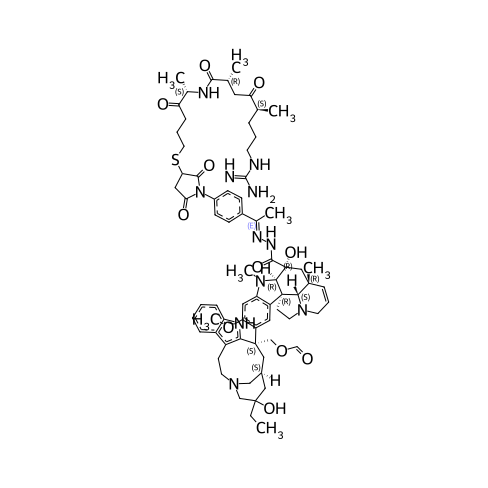 CCC1(O)C[C@H]2CN(CCc3c([nH]c4ccccc34)[C@@](COC=O)(c3cc4c(cc3OC)N(C)[C@@H]3[C@]45CCN4CC=C[C@@](C)(C[C@]3(O)C(=O)N/N=C(\C)c3ccc(N6C(=O)CC(SCCCC(=O)[C@H](C)NC(=O)[C@H](C)CC(=O)[C@@H](C)CCCNC(=N)N)C6=O)cc3)[C@H]45)C2)C1